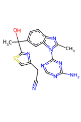 Cc1nc2ccc(C(C)(O)c3nc(CC#N)cs3)cc2n1-c1ncnc(N)n1